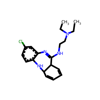 CCN(CC)CCNC1=Nc2cc(Cl)ccc2NC2C=CC=CC12